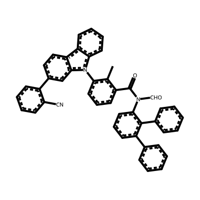 Cc1c(C(=O)N(C=O)c2cccc(-c3ccccc3)c2-c2ccccc2)cccc1-n1c2ccccc2c2ccc(-c3ccccc3C#N)cc21